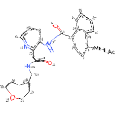 CC(=O)Nc1ccc(C(=O)Nc2cccnc2C(=O)NCC2CCOCC2)c2ccccc12